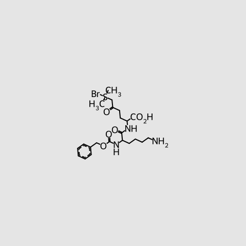 CS(C)(Br)CC(=O)CCC(NC(=O)C(CCCCN)NC(=O)OCc1ccccc1)C(=O)O